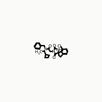 CC(C1CCC1)N(Cc1ccccc1)C(=O)CN1C(=O)NC2(CCc3cccc(Cl)c32)C1=O